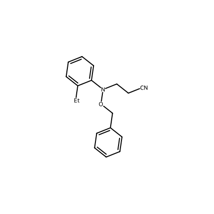 CCc1ccccc1N(CCC#N)OCc1ccccc1